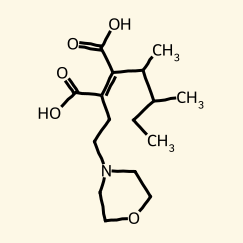 CCC(C)C(C)C(C(=O)O)=C(CCN1CCOCC1)C(=O)O